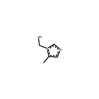 [CH2]c1cncn1CCCC